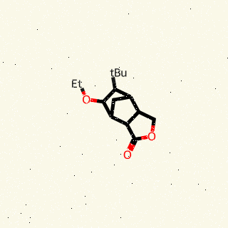 CCOC1C2CC(C3COC(=O)C32)C1C(C)(C)C